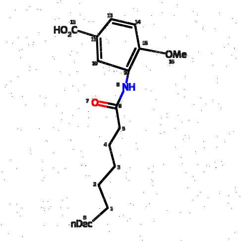 CCCCCCCCCCCCCCCC(=O)Nc1cc(C(=O)O)ccc1OC